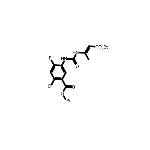 CCOC(=O)/C=C(\C)NC(=O)Nc1cc(C(=O)OC(C)C)c(Cl)cc1F